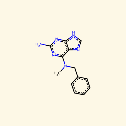 CN(Cc1ccccc1)c1nc(N)nc2[nH]cnc12